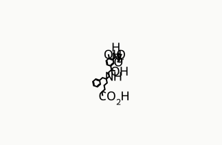 CS(=O)(=O)Nc1cc(C(O)CNC(CCCCC(=O)O)Cc2ccccc2)ccc1O